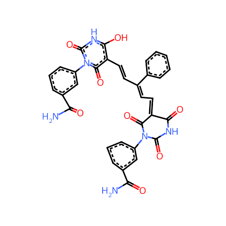 NC(=O)c1cccc(N2C(=O)NC(=O)C(=CC=C(C=Cc3c(O)[nH]c(=O)n(-c4cccc(C(N)=O)c4)c3=O)c3ccccc3)C2=O)c1